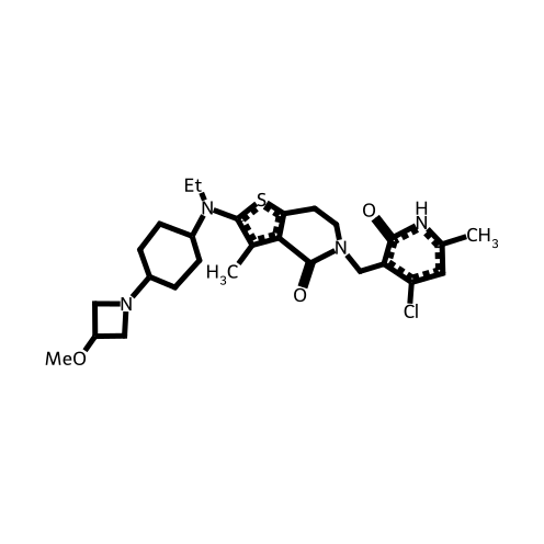 CCN(c1sc2c(c1C)C(=O)N(Cc1c(Cl)cc(C)[nH]c1=O)CC2)C1CCC(N2CC(OC)C2)CC1